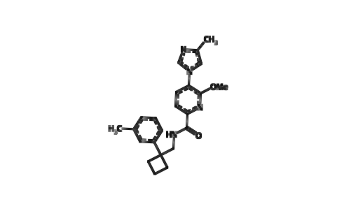 COc1nc(C(=O)NCC2(c3cccc(C)c3)CCC2)ccc1-n1cnc(C)c1